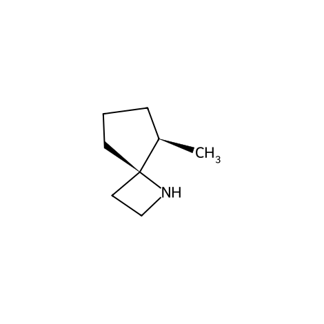 C[C@@H]1CCC[C@@]12CCN2